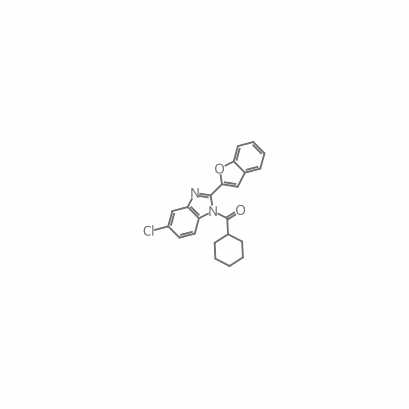 O=C(C1CCCCC1)n1c(-c2cc3ccccc3o2)nc2cc(Cl)ccc21